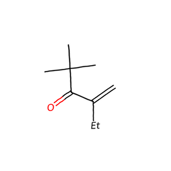 C=C(CC)C(=O)C(C)(C)C